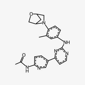 CC(=O)Nc1ccc(-c2ccnc(Nc3ccc(N4CC5CC4CO5)c(C)c3)n2)cn1